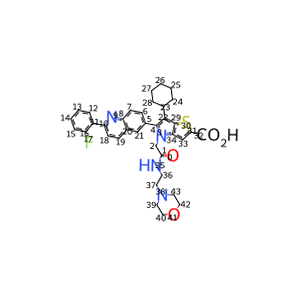 O=C(Cn1c(-c2ccc3nc(-c4ccccc4F)ccc3c2)c(C2CCCCC2)c2sc(C(=O)O)cc21)NCCN1CCOCC1